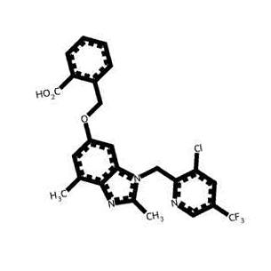 Cc1cc(OCc2ccccc2C(=O)O)cc2c1nc(C)n2Cc1ncc(C(F)(F)F)cc1Cl